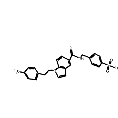 CCS(=O)(=O)c1ccc(CNC(=O)c2ccc3c(ccn3CCc3ccc(C(F)(F)F)cc3)c2)cc1